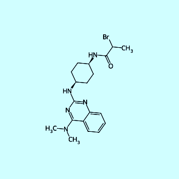 CC(Br)C(=O)N[C@H]1CC[C@@H](Nc2nc(N(C)C)c3ccccc3n2)CC1